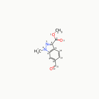 COC(=O)c1nn(C)c2cc(C=O)ccc12